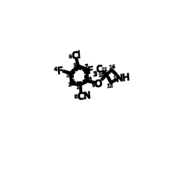 N#Cc1cc(F)c(Cl)cc1OC1(C(F)(F)F)CNC1